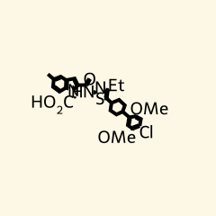 CCc1nc(NC(=O)c2cc3cc(C)ccc3n2CC(=O)O)sc1C1CCC(c2cc(OC)c(Cl)cc2OC)CC1